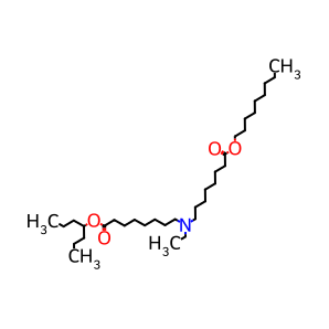 CCCCCCCCCOC(=O)CCCCCCCN(CC)CCCCCCCC(=O)OC(CCC)CCC